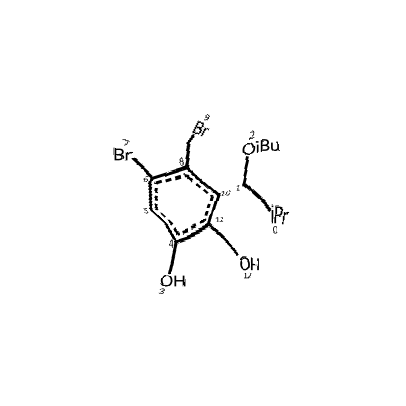 CC(C)COCC(C)C.Oc1cc(Br)c(Br)cc1O